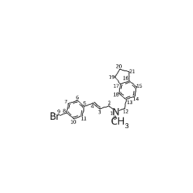 CN(C/C=C/c1ccc(Br)cc1)Cc1ccc2c(c1)CCC2